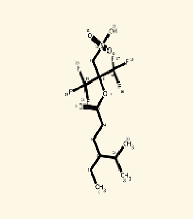 CCC(CCC(=O)OC(CS(=O)(=O)O)(C(F)(F)F)C(F)(F)F)C(C)C